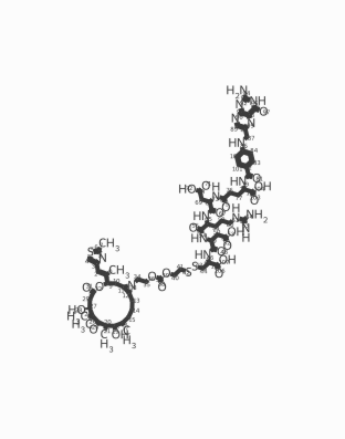 C/C(=C\c1csc(C)n1)C1CC2C(CCCC(C)C(O)C(C)C(=O)C(C)(C)[C@@H](O)CC(=O)O1)N2CCOC(=O)OCCSSCC(NC(=O)C(CC(=O)O)NC(=O)C(CCCNC(=N)N)NC(=O)C(CC(=O)O)NC(=O)CCC(NC(=O)c1ccc(NCc2cnc3nc(N)[nH]c(=O)c3n2)cc1)C(=O)O)C(=O)O